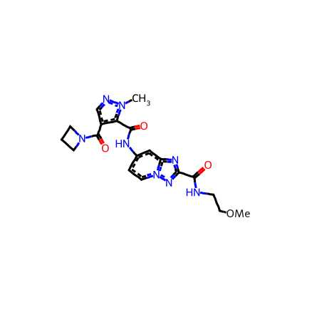 COCCNC(=O)c1nc2cc(NC(=O)c3c(C(=O)N4CCC4)cnn3C)ccn2n1